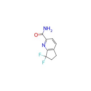 NC(=O)c1ccc2c(n1)C(F)(F)CC2